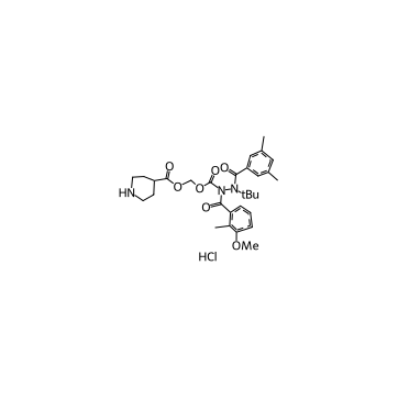 COc1cccc(C(=O)N(C(=O)OCOC(=O)C2CCNCC2)N(C(=O)c2cc(C)cc(C)c2)C(C)(C)C)c1C.Cl